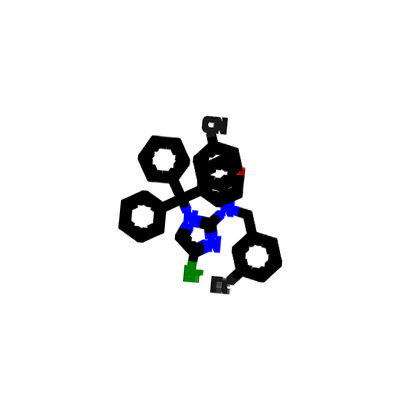 CCc1cccc(CN(c2ccc(C#N)cc2)c2nc(Br)cn2C(c2ccccc2)(c2ccccc2)c2ccccc2)c1